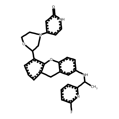 CC(Nc1ccc2c(c1)Cc1cccc(C3CN(c4cc[nH]c(=O)c4)CCO3)c1O2)c1cccc(F)n1